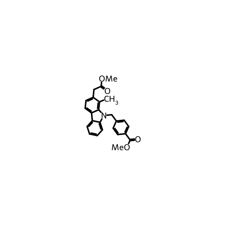 COC(=O)Cc1ccc2c3ccccc3n(Cc3ccc(C(=O)OC)cc3)c2c1C